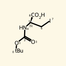 CC(C)(C)OC(=O)N[C@H](CI)C(=O)O